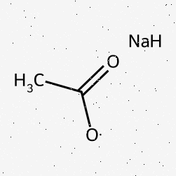 CC([O])=O.[NaH]